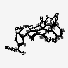 COC(=O)c1ccc(OC)c(-n2nc3c(c2C(C)C)C2(C(=O)NC4=C2C=CC(Cl)C4)N(c2cc(Cl)ccc2O)C3=O)c1